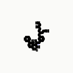 N=CCN(CCNC=N)Cc1cccc(/C=C(\N)C(=N)c2cc(-c3cccnc3)ccc2N)c1